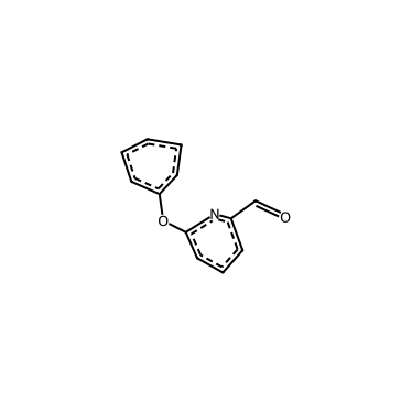 O=Cc1cccc(Oc2ccccc2)n1